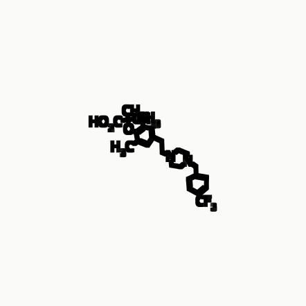 Cc1cc(CCN2CCN(Cc3ccc(C(F)(F)F)cc3)CC2)cc(C)c1OC(C)(C)C(=O)O